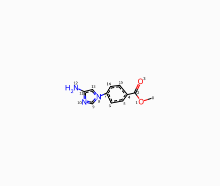 COC(=O)c1ccc(-n2cnc(N)c2)cc1